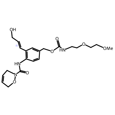 COCCOCCNC(=O)OCc1ccc(NC(=O)N2CC=CCO2)c(/C=C/CO)c1